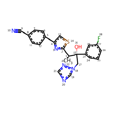 C[C@@H](c1nc(-c2ccc(C#N)cc2)cs1)[C@](O)(Cn1cncn1)c1cccc(F)c1